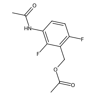 CC(=O)Nc1ccc(F)c(COC(C)=O)c1F